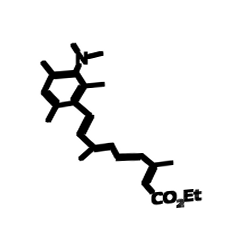 CCOC(=O)C=C(C)C=CC=C(C)C=Cc1c(C)cc(C)c(N(C)C)c1C